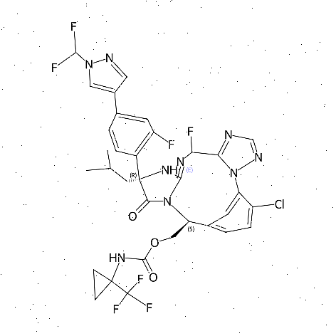 CC(C)C[C@]1(c2ccc(-c3cnn(C(F)F)c3)cc2F)N/C2=N\C(F)c3ncnn3-c3cc(ccc3Cl)[C@@H](COC(=O)NC3(C(F)(F)F)CC3)N2C1=O